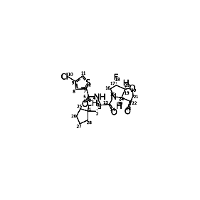 CC1(C[C@H](NC(=O)c2cc(Cl)cs2)C(=O)N2C[C@H](F)[C@H]3OCC(=O)[C@H]32)CCCC1